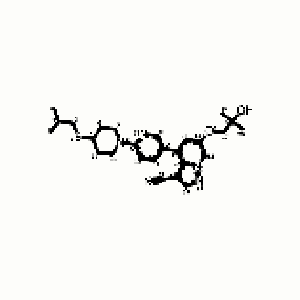 CC(C)CSC1CCN(c2ccc(-c3cc(OCC(C)(C)O)cn4ncc(C#N)c34)cn2)CC1